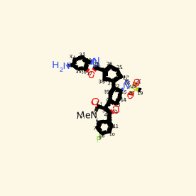 CNC(=O)c1c(-c2ccc(F)cc2)oc2cc(N(C)S(C)(=O)=O)c(-c3cccc(-c4nc5ccc(N)cc5o4)c3)cc12